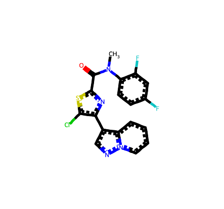 CN(C(=O)c1nc(-c2cnn3ccccc23)c(Cl)s1)c1ccc(F)cc1F